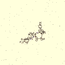 CCO[C@]1(C)CC[C@@H](O)CC(=O)O[C@H](/C(C)=C/C=C/C(C)(O)C[C@H]2O[C@@H]2[C@H](C)[C@@H](O)CC)[C@@H](C)/C=C/[C@@H]1OC(=O)N1CCNCC1